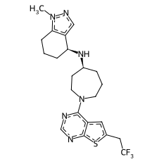 Cn1ncc2c1CCC[C@@H]2N[C@H]1CCCN(c2ncnc3sc(CC(F)(F)F)cc23)CC1